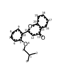 CC(C)COc1ccccc1-c1cc(=O)c2ccccc2o1